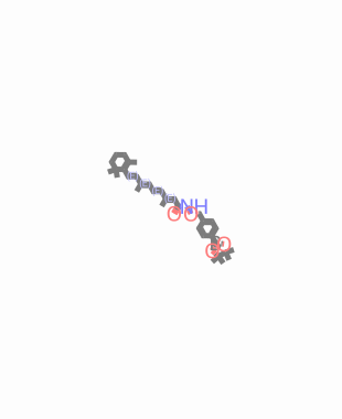 CC1=C(/C=C/C(C)=C/C=C/C(C)=C/C(=O)NOCc2ccc(B3OC(C)(C)C(C)(C)O3)cc2)C(C)(C)CCC1